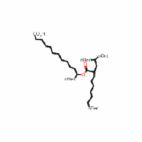 CCCCCCCCCCCCCCCCC(CC(CCCCCCCC)CCCCCCCCCC)C(=O)OC(CCCCCC)CCCCCCCCCCC(=O)O